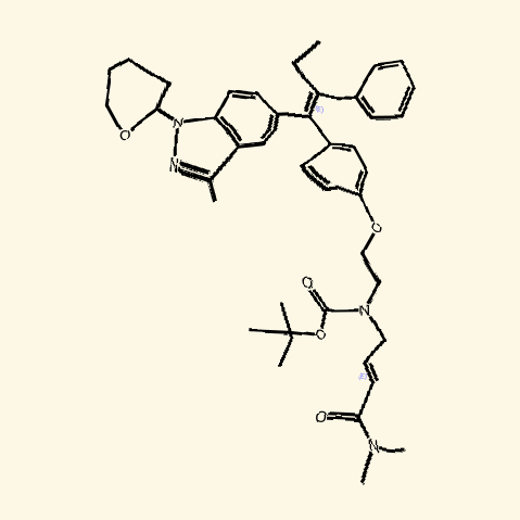 CC/C(=C(/c1ccc(OCCN(C/C=C/C(=O)N(C)C)C(=O)OC(C)(C)C)cc1)c1ccc2c(c1)c(C)nn2C1CCCCO1)c1ccccc1